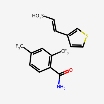 NC(=O)c1ccc(C(F)(F)F)cc1C(F)(F)F.O=S(=O)(O)/C=C/c1ccsc1